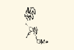 COCCCn1cnc2cc([C@@H]3C[C@@H]3c3cnc(-c4ncccn4)nc3)cc(F)c21